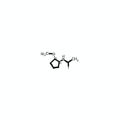 CO[C@H]1CCC[C@@H]1NC(C)I